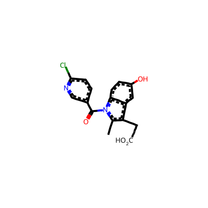 Cc1c(CC(=O)O)c2cc(O)ccc2n1C(=O)c1ccc(Cl)nc1